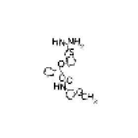 COc1cccc(NC(=O)OCC(Oc2cccc3sc(C(=N)N)cc23)c2ccccc2)c1